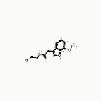 CCCNC(=O)Cc1coc2c(OC)cccc12